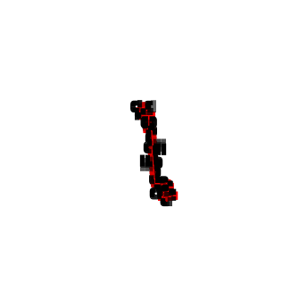 CN1Cc2c(Cl)cc(Cl)cc2[C@H](c2cccc(S(=O)(=O)N3CCC(OCCOCCNC(=O)NCCCCNC(=O)NCCOCCO[C@H]4CCN(S(=O)(=O)c5cccc([C@@H]6CN(C)Cc7c(Cl)cc(Cl)cc76)c5)C4)C3)c2)C1